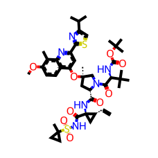 C=C[C@@H]1C[C@]1(NC(=O)[C@@H]1C[C@@](C)(Oc2cc(-c3nc(C(C)C)cs3)nc3c(C)c(OC)ccc23)CN1C(=O)[C@@H](NC(=O)OC(C)(C)C)C(C)(C)C)C(=O)NS(=O)(=O)C1(C)CC1